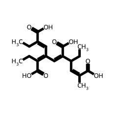 CCC(=CC(C=C(C(=O)O)C(C=C(C)C(=O)O)CC)=C(CC)C(=O)O)C(=O)O